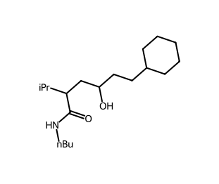 CCCCNC(=O)C(CC(O)CCC1CCCCC1)C(C)C